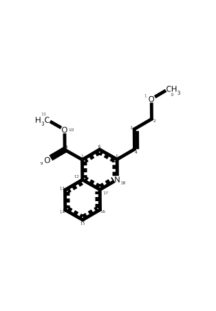 COC/C=C/c1cc(C(=O)OC)c2ccccc2n1